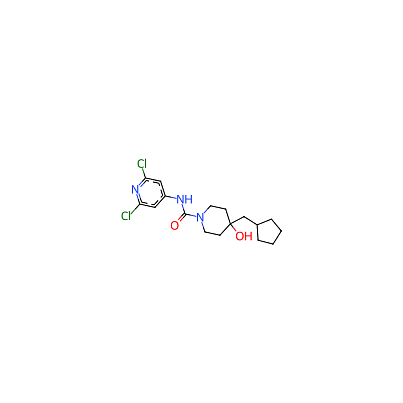 O=C(Nc1cc(Cl)nc(Cl)c1)N1CCC(O)(CC2CCCC2)CC1